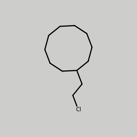 ClCCC1CCCCCCCCC1